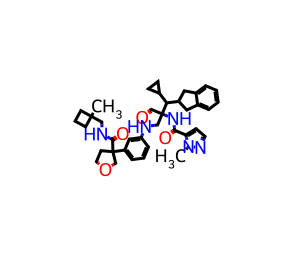 Cn1nccc1C(=O)NC(C=O)(CNc1cccc(C2(C(=O)NCC3(C)CCC3)CCOC2)c1)C(C1CC1)C1Cc2ccccc2C1